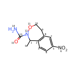 CC1c2ccc([N+](=O)[O-])cc2CCON1C(N)=O